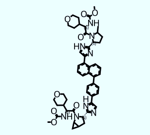 COC(=O)N[C@H](C(=O)N1C(C)CC[C@H]1c1nc(-c2cccc3c(-c4ccc(-c5cnc([C@@H]6CC7CC7N6C(=O)[C@@H](NC(=O)OC)C6CCOCC6)[nH]5)cc4)cccc23)c[nH]1)C1CCOCC1